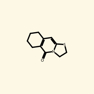 O=c1c2c(cc3n1CCS3)CCCC2